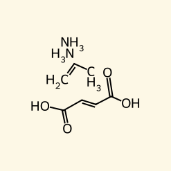 C=CC.N.N.O=C(O)/C=C/C(=O)O